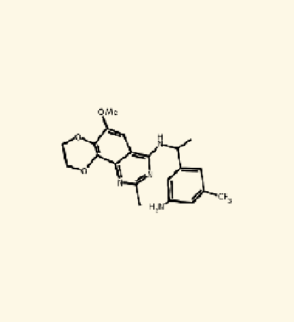 COc1cc2c(NC(C)c3cc(N)cc(C(F)(F)F)c3)nc(C)nc2c2c1OCCO2